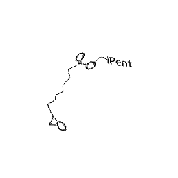 CCCC(C)COC(=O)CCCCCCCC1CO1